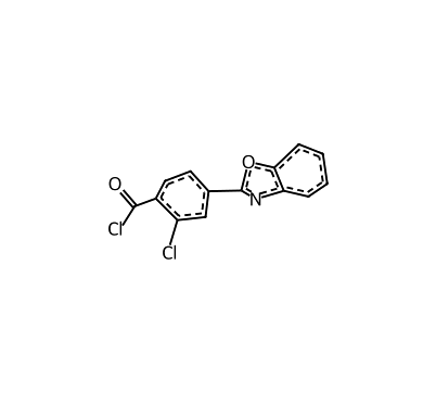 O=C(Cl)c1ccc(-c2nc3ccccc3o2)cc1Cl